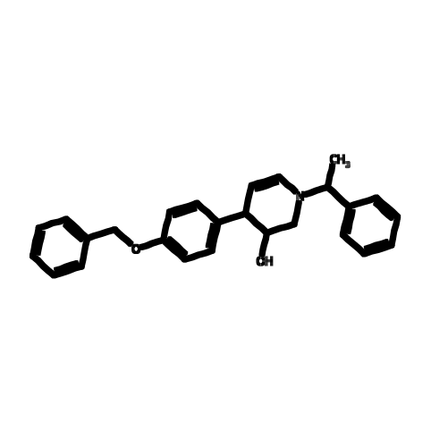 CC(c1ccccc1)N1C=CC(c2ccc(OCc3ccccc3)cc2)C(O)C1